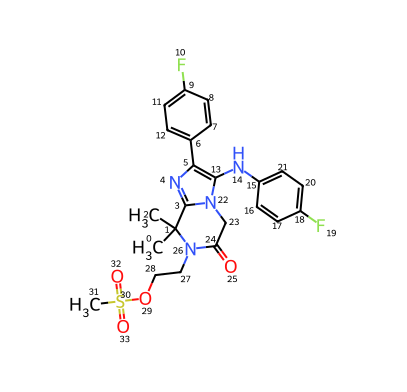 CC1(C)c2nc(-c3ccc(F)cc3)c(Nc3ccc(F)cc3)n2CC(=O)N1CCOS(C)(=O)=O